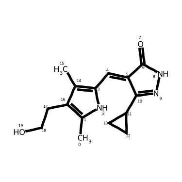 Cc1[nH]c(C=C2C(=O)NN=C2C2CC2)c(C)c1CCO